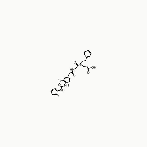 COc1cc(CC(=O)NCC(=O)N(CCC(=O)O)CCc2ccccc2)ccc1NC(=O)Nc1ccccc1C